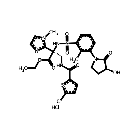 CCOC(=O)[C@](CNC(=O)c1ccc(Cl)s1)(NS(=O)(=O)c1cccc(N2CC[C@H](O)C2=O)c1C)c1nccn1C.Cl